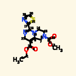 CCOC(=O)C1=C2CN(C(=O)OC)CCN2C(c2nccs2)=NC1